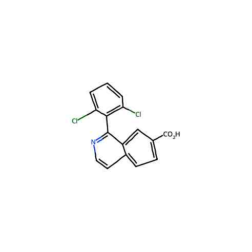 O=C(O)c1ccc2ccnc(-c3c(Cl)cccc3Cl)c2c1